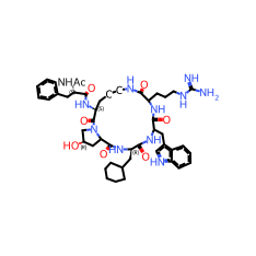 CC(=O)N[C@@H](Cc1ccccc1)C(=O)N[C@H]1CCCNC(=O)C(CCCNC(=N)N)NC(=O)C(Cc2c[nH]c3ccccc23)NC(=O)[C@@H](CC2CCCCC2)NC(=O)C2C[C@@H](O)CN2C1=O